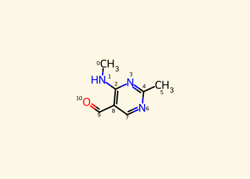 CNc1nc(C)ncc1C=O